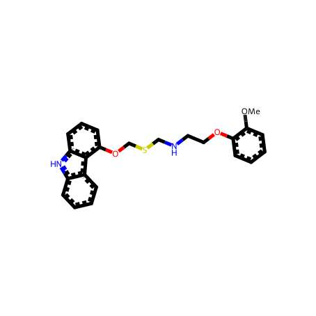 COc1ccccc1OCCNCSCOc1cccc2[nH]c3ccccc3c12